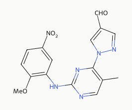 COc1ccc([N+](=O)[O-])cc1Nc1ncc(C)c(-n2cc(C=O)cn2)n1